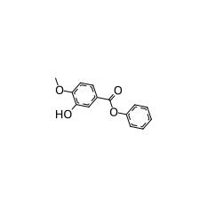 COc1ccc(C(=O)Oc2ccccc2)cc1O